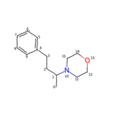 CC(CCc1c[c]ccc1)N1CCOCC1